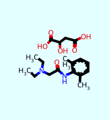 CCN(CC)CC(=O)Nc1c(C)cccc1C.O=C(O)CC(O)C(=O)O